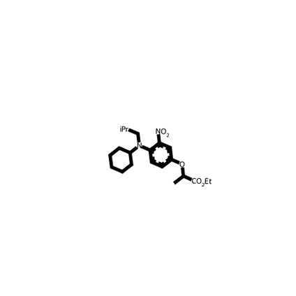 CCOC(=O)C(C)Oc1ccc(N(CC(C)C)C2CCCCC2)c([N+](=O)[O-])c1